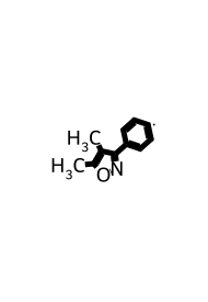 Cc1onc(-c2cc[c]cc2)c1C